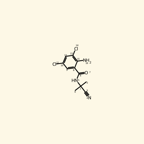 CC(C)(C#N)NC(=O)c1cc(Cl)cc(Cl)c1N